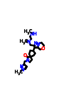 CNCCN(C)Cc1nn2c(c1C1CCC3(CC1)CCN(Cc1ccn(C)n1)C3=O)COCC2